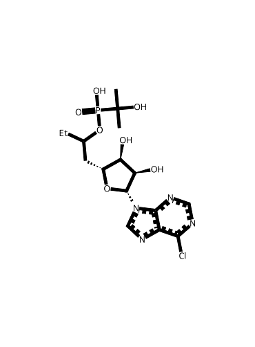 CCC(C[C@H]1O[C@@H](n2cnc3c(Cl)ncnc32)[C@H](O)[C@@H]1O)OP(=O)(O)C(C)(C)O